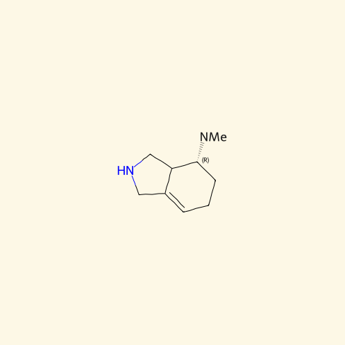 CN[C@@H]1CCC=C2CNCC21